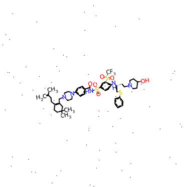 C=C(C)CCC1=C(CN2CCN(c3ccc(C(=O)NS(=O)(=O)c4ccc(N[C@H](CCN5CCC(O)CC5)CSc5ccccc5)c(S(=O)(=O)C(F)(F)F)c4)cc3)CC2)CC(C)(C)CC1